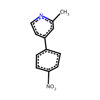 Cc1cc(-c2ccc([N+](=O)[O-])cc2)ccn1